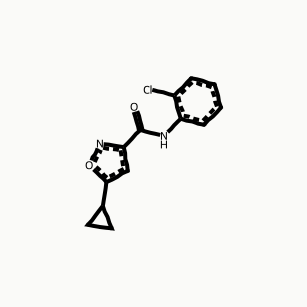 O=C(Nc1ccccc1Cl)c1cc(C2CC2)on1